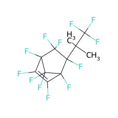 CC(C)(C(F)(F)F)C1(F)C(F)(F)C2(F)C(F)=C(F)C1(F)C2(F)F